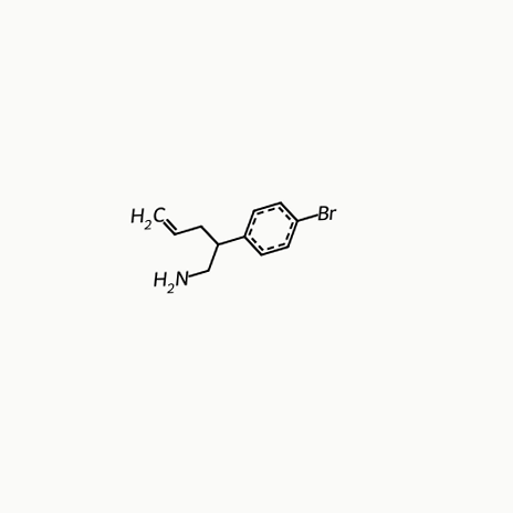 C=CCC(CN)c1ccc(Br)cc1